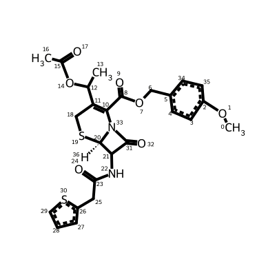 COc1ccc(COC(=O)C2=C(C(C)OC(C)=O)CS[C@@H]3C(NC(=O)Cc4cccs4)C(=O)N23)cc1